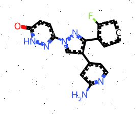 Nc1cc(-c2cn(-c3ccc(=O)[nH]n3)nc2-c2ccccc2F)ccn1